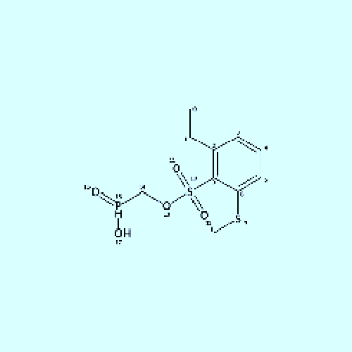 CCc1cccc(SC)c1S(=O)(=O)OC[PH](=O)O